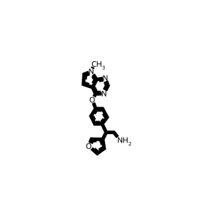 Cn1ccc2c(Oc3ccc(C(CN)c4ccoc4)cc3)ncnc21